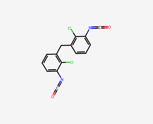 O=C=Nc1cccc(Cc2cccc(N=C=O)c2Cl)c1Cl